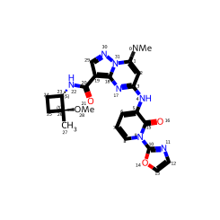 CNc1cc(Nc2cccn(-c3ncco3)c2=O)nc2c(C(=O)N[C@H]3CC[C@]3(C)OC)cnn12